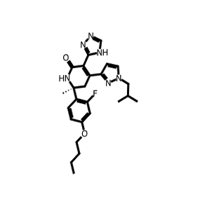 CCCCOc1ccc([C@]2(C)CC(c3ccn(CC(C)C)n3)=C(c3nnc[nH]3)C(=O)N2)c(F)c1